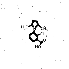 Cc1c(C(=O)O)cccc1-n1c(C)ccc1C